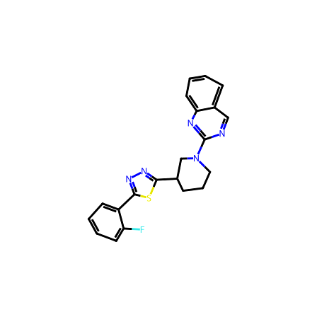 Fc1ccccc1-c1nnc(C2CCCN(c3ncc4ccccc4n3)C2)s1